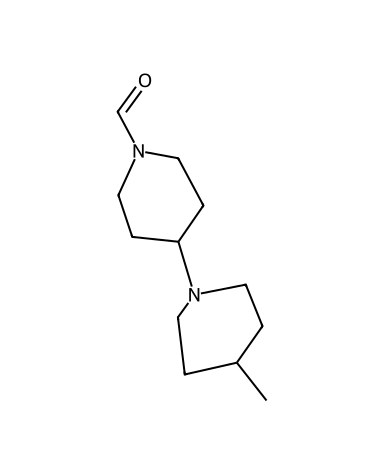 CC1CCN(C2CCN(C=O)CC2)CC1